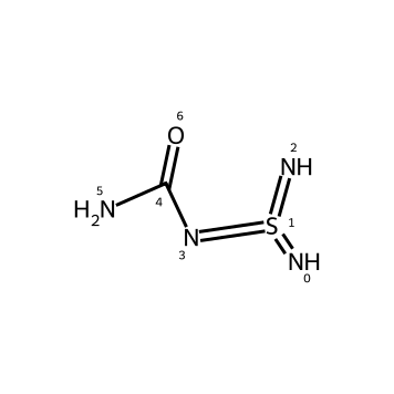 N=S(=N)=NC(N)=O